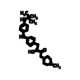 CN1CCN(CC(=O)N(O)Cc2ccc(Nc3ccc(NC(C)(C)C)cc3)cc2)CC1